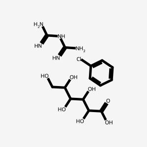 Clc1ccccc1.N=C(N)NC(=N)N.O=C(O)C(O)C(O)C(O)C(O)CO